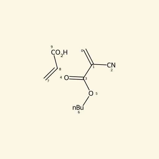 C=C(C#N)C(=O)OCCCC.C=CC(=O)O